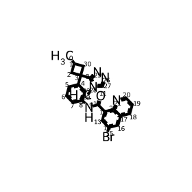 CC1CC(c2cccc(NC(=O)c3cc(Br)cc4cccnc34)c2)(c2nncn2C)C1